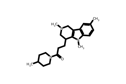 Cc1ccc2c(c1)c1c(n2C)C(CCC(=O)N2CCC(C)CC2)CN(C)C1